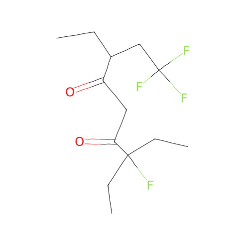 CCC(CC(F)(F)F)C(=O)CC(=O)C(F)(CC)CC